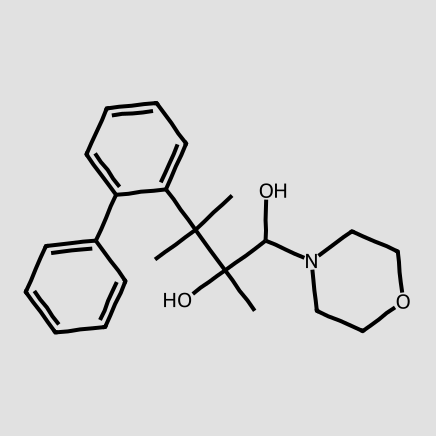 CC(C)(c1ccccc1-c1ccccc1)C(C)(O)C(O)N1CCOCC1